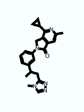 Cc1cc2c(c(C3CC3)n1)CN(c1cccc(C(C)Cc3nncn3C)c1)C2=O